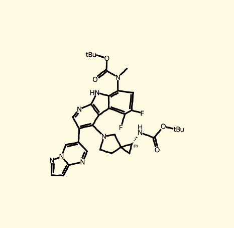 CN(C(=O)OC(C)(C)C)c1cc(F)c(F)c2c1[nH]c1ncc(-c3cnc4ccnn4c3)c(N3CCC4(C[C@H]4NC(=O)OC(C)(C)C)C3)c12